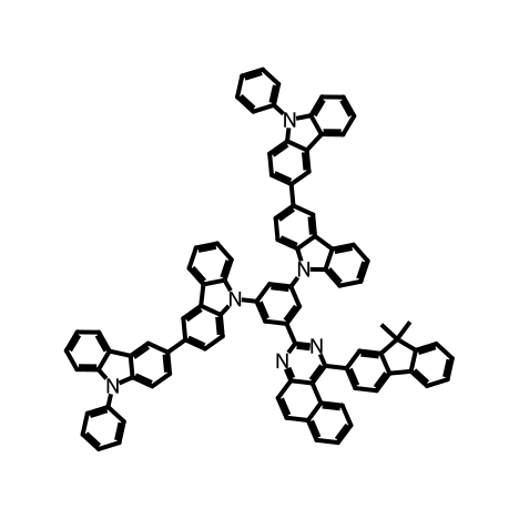 CC1(C)c2ccccc2-c2ccc(-c3nc(-c4cc(-n5c6ccccc6c6cc(-c7ccc8c(c7)c7ccccc7n8-c7ccccc7)ccc65)cc(-n5c6ccccc6c6cc(-c7ccc8c(c7)c7ccccc7n8-c7ccccc7)ccc65)c4)nc4ccc5ccccc5c34)cc21